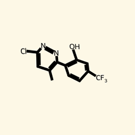 Cc1cc(Cl)nnc1-c1ccc(C(F)(F)F)cc1O